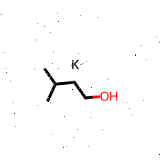 CC(C)CCO.[K]